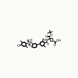 Cc1cc(S(=O)(=O)Nc2cccc(-c3cc(C)c(C(=O)NC4(C(=O)OC(C)(C)C)CN(C(=O)O)C4)c(C)c3)c2)c(C)cc1Cl